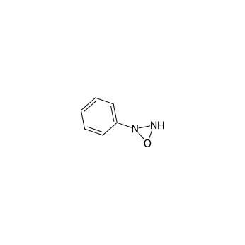 c1ccc(-n2[nH]o2)cc1